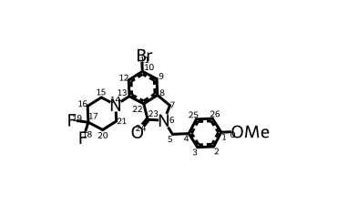 COc1ccc(CN2Cc3cc(Br)cc(N4CCC(F)(F)CC4)c3C2=O)cc1